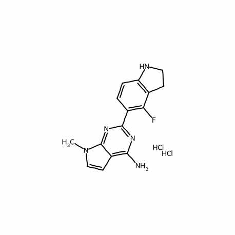 Cl.Cl.Cn1ccc2c(N)nc(-c3ccc4c(c3F)CCN4)nc21